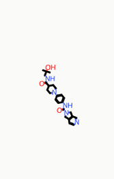 CC(C)(O)CNC(=O)C1CCN(c2ccc(NC(=O)N3Cc4ccncc4C3)cc2)CC1